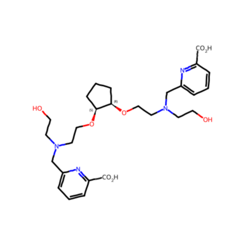 O=C(O)c1cccc(CN(CCO)CCO[C@H]2CCC[C@H]2OCCN(CCO)Cc2cccc(C(=O)O)n2)n1